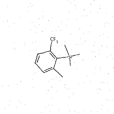 Cc1cccc(C(F)(F)F)c1[Si](C)(C)C